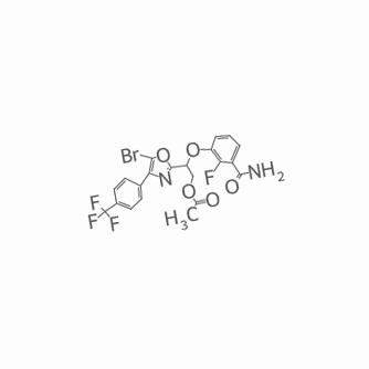 CC(=O)OCC(Oc1cccc(C(N)=O)c1F)c1nc(-c2ccc(C(F)(F)F)cc2)c(Br)o1